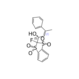 C/C(=C/[C@H](O)C1(F)S(=O)(=O)c2ccccc2S1(=O)=O)c1ccccc1